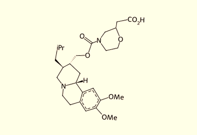 COc1cc2c(cc1OC)[C@H]1C[C@@H](COC(=O)N3CCOC(CC(=O)O)C3)[C@H](CC(C)C)CN1CC2